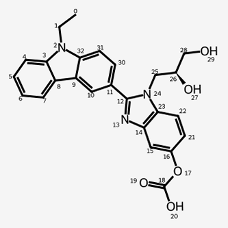 CCn1c2ccccc2c2cc(-c3nc4cc(OC(=O)O)ccc4n3C[C@H](O)CO)ccc21